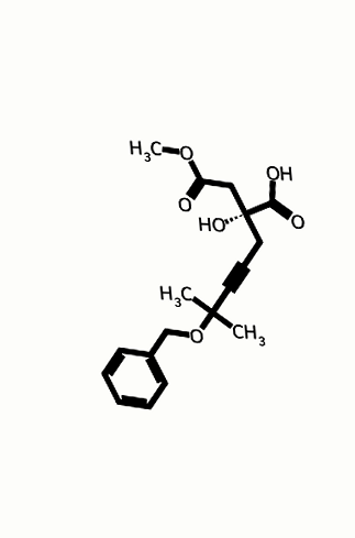 COC(=O)C[C@](O)(CC#CC(C)(C)OCc1ccccc1)C(=O)O